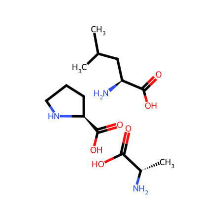 CC(C)C[C@H](N)C(=O)O.C[C@H](N)C(=O)O.O=C(O)[C@@H]1CCCN1